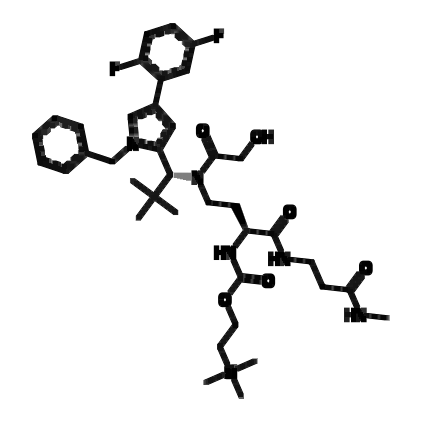 CNC(=O)CCNC(=O)[C@H](CCN(C(=O)CO)[C@@H](c1cc(-c2cc(F)ccc2F)cn1Cc1ccccc1)C(C)(C)C)NC(=O)OCC[Si](C)(C)C